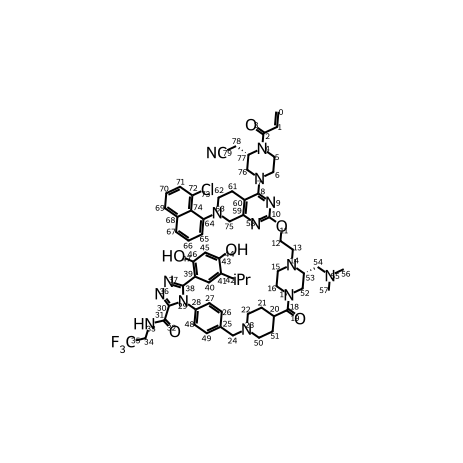 C=CC(=O)N1CCN(c2nc(OCCN3CCN(C(=O)C4CCN(Cc5ccc(-n6c(C(=O)NCC(F)(F)F)nnc6-c6cc(C(C)C)c(O)cc6O)cc5)CC4)C[C@H]3CN(C)C)nc3c2CCN(c2cccc4cccc(Cl)c24)C3)C[C@@H]1CC#N